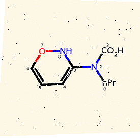 CCCN(C(=O)O)C1=CC=CON1